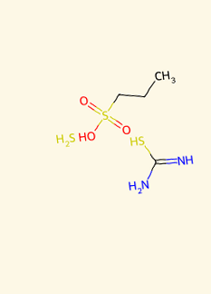 CCCS(=O)(=O)O.N=C(N)S.S